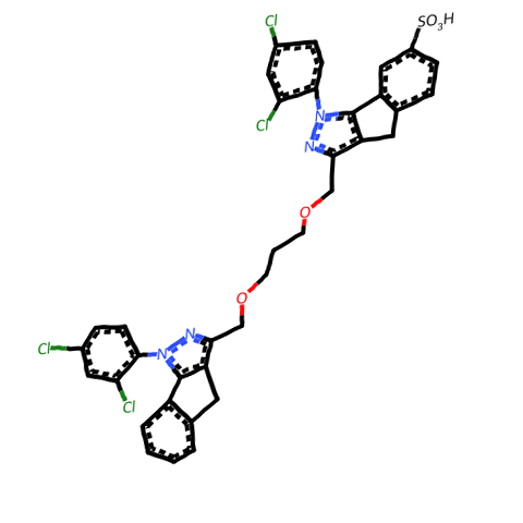 O=S(=O)(O)c1ccc2c(c1)-c1c(c(COCCCOCc3nn(-c4ccc(Cl)cc4Cl)c4c3Cc3ccccc3-4)nn1-c1ccc(Cl)cc1Cl)C2